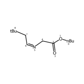 CCCCOC(=O)C/N=C\CC(C)(C)C